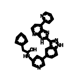 OC(Cc1ccccc1)Nc1cncc(-c2ccc3[nH]nc(-c4nc5c(-c6ccccn6)ccnc5[nH]4)c3c2)c1